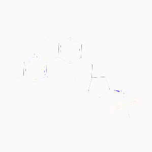 CS(=O)(=O)N[C@H]1CC[C@](Cc2ccc(Cl)c(-c3ncc(F)cn3)c2)(C(=O)O)C1